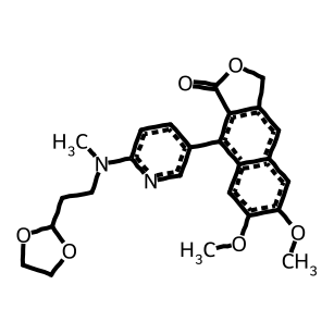 COc1cc2cc3c(c(-c4ccc(N(C)CCC5OCCO5)nc4)c2cc1OC)C(=O)OC3